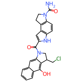 NC(=O)N1CCc2c1ccc1[nH]c(C(=O)N3CC(CCl)c4c3cc3ccccc3c4O)cc21